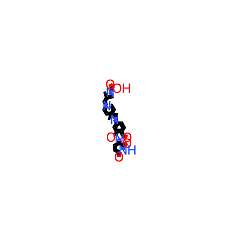 O=C1CCC(N2C(=O)c3ccc(N4CC5(CCN(CC6CN(C(=O)O)C6)CC5)C4)cc3C2=O)C(=O)N1